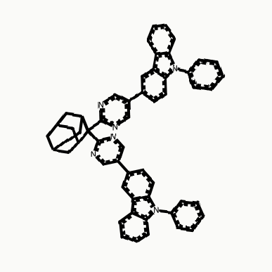 c1ccc(-n2c3ccccc3c3cc(-c4cnc(C5(c6ncc(-c7ccc8c(c7)c7ccccc7n8-c7ccccc7)cn6)C6CC7CC(C6)CC5C7)nc4)ccc32)cc1